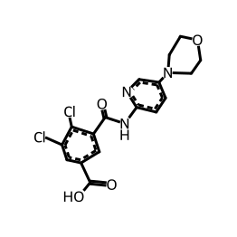 O=C(O)c1cc(Cl)c(Cl)c(C(=O)Nc2ccc(N3CCOCC3)cn2)c1